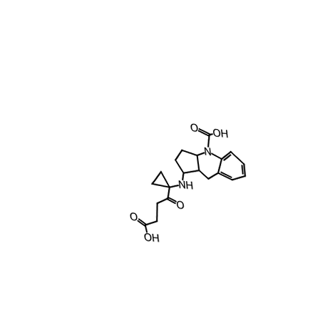 O=C(O)CCC(=O)C1(NC2CCC3C2Cc2ccccc2N3C(=O)O)CC1